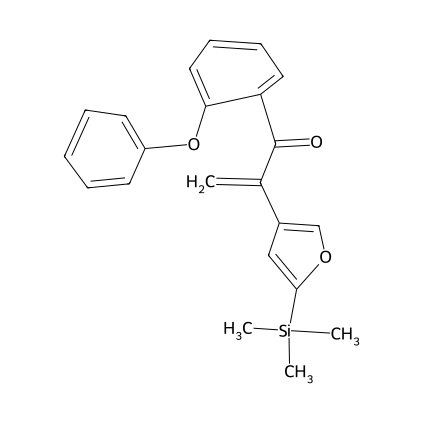 C=C(C(=O)c1ccccc1Oc1ccccc1)c1coc([Si](C)(C)C)c1